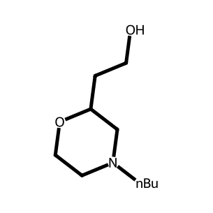 CCCCN1CCOC(CCO)C1